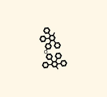 Cc1cc(-c2ccccc2)c(-c2ccc(Oc3ccc(-c4c(-c5ccccc5)cc(C)c(-c5ccccc5)c4-c4ccccc4)cc3)cc2)c(-c2ccccc2)c1-c1ccccc1